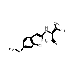 COc1ccc(/C=C(\N)NC(C#N)=C(C)C)c(Cl)c1